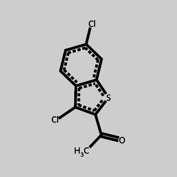 CC(=O)c1sc2cc(Cl)ccc2c1Cl